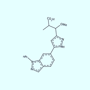 CCCn1ncc2ccc(-c3cc(C(OC)C(C)C(=O)O)n[nH]3)cc21